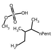 CCCCCC(C)C(C)CP.COS(=O)(=O)O